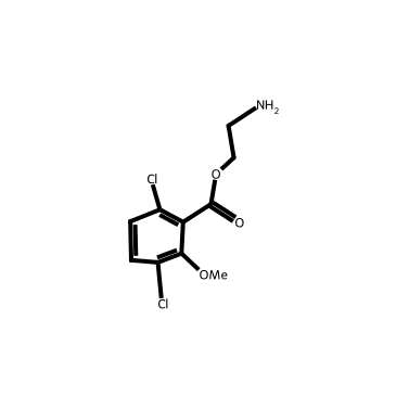 COc1c(Cl)ccc(Cl)c1C(=O)OCCN